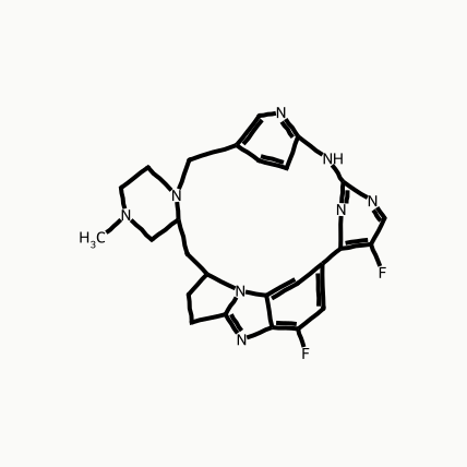 CN1CCN2Cc3ccc(nc3)Nc3ncc(F)c(n3)-c3cc(F)c4nc5n(c4c3)C(CC5)CC2C1